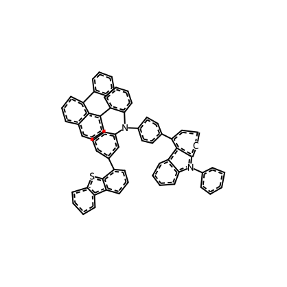 c1ccc(-c2cccc3cccc(-c4ccccc4N(c4ccc(-c5cccc6c5c5ccccc5n6-c5ccccc5)cc4)c4cccc(-c5cccc6c5sc5ccccc56)c4)c23)cc1